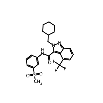 CS(=O)(=O)c1cccc(NC(=O)c2c3c(C(F)(F)F)cccc3nn2CC2CCCCC2)c1